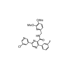 COc1ccc(CNC(=O)c2nc(-c3cncc(Cl)c3)cnc2-c2cccc(F)c2)nc1OC